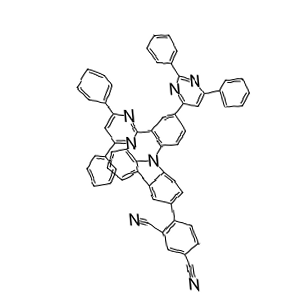 N#Cc1ccc(-c2ccc3c(c2)c2ccccc2n3-c2ccc(-c3cc(-c4ccccc4)nc(-c4ccccc4)n3)cc2-c2nc(-c3ccccc3)cc(-c3ccccc3)n2)c(C#N)c1